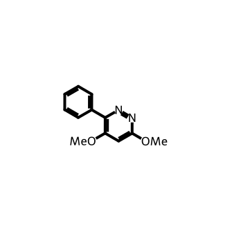 COc1cc(OC)c(-c2ccccc2)nn1